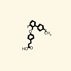 CSc1ccc(-c2cccc(F)c2COc2ccc(CCC(=O)O)cc2)cc1